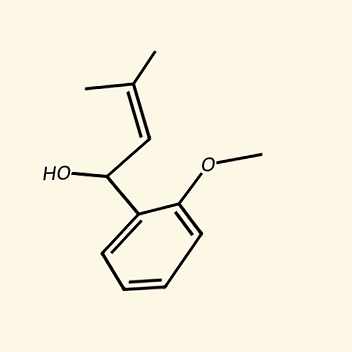 COc1ccccc1C(O)C=C(C)C